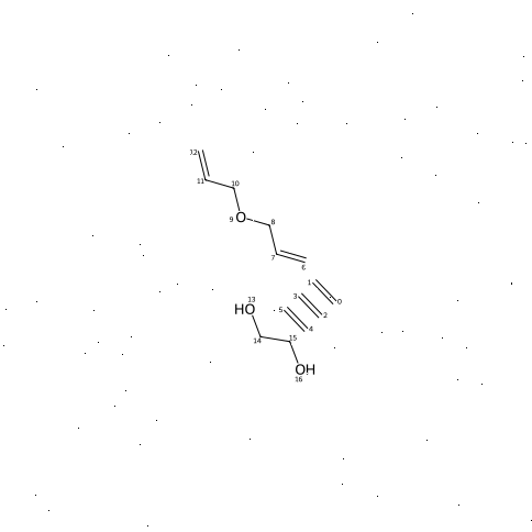 C=C.C=C.C=C.C=CCOCC=C.OCCO